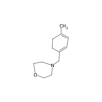 CC1=CC=C(CN2CCOCC2)CC1